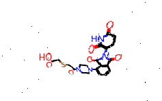 O=C(O)CSCC(=O)N1CCN(c2cccc3c2C(=O)N(C2CCC(=O)NC2=O)C3=O)CC1